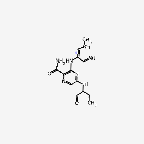 CCC(C=O)Nc1cnc(C(N)=O)c(N/C(C=N)=C/NC)n1